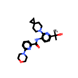 CC(O)(c1ccc(NC(=O)c2cccc(N3CCOCC3)n2)c(N2CCC3(CC2)CC3)n1)C(F)(F)F